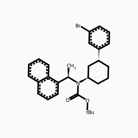 C[C@H](c1cccc2ccccc12)N(C(=O)OC(C)(C)C)[C@@H]1CCC[C@@H](c2cccc(Br)c2)C1